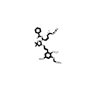 COCOc1cc(OC)cc(/C=C/C[C@@H]2CC(C)(C)O[C@@H]2C(/C=C\C[C@H](C)N=[N+]=[N-])OC(=O)c2ccccc2)c1C(=O)O